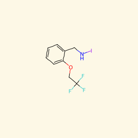 FC(F)(F)COc1ccccc1CNI